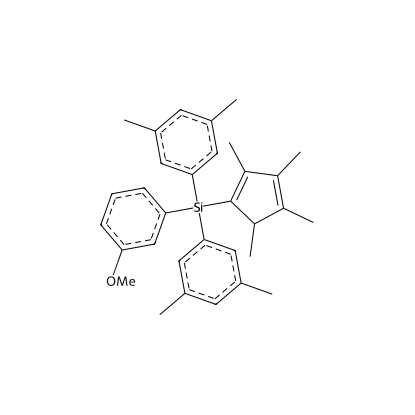 COc1cccc([Si](C2=C(C)C(C)=C(C)C2C)(c2cc(C)cc(C)c2)c2cc(C)cc(C)c2)c1